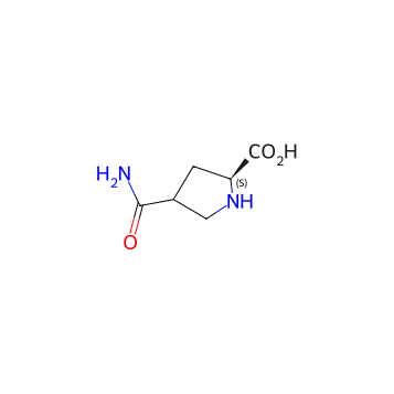 NC(=O)C1CN[C@H](C(=O)O)C1